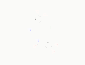 COc1cc2c(cc1OC)CC(=O)N(CCCN(C)C1CCc3cc(OC)c(OC)cc3C1)CC2.Cl